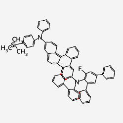 C[Si](C)(C)c1ccc(N(c2ccccc2)c2ccc3c(ccc4c5ccc(N(c6ccccc6-c6ccccc6)c6c(F)cc(-c7ccccc7)cc6-c6ccccc6)cc5c5ccccc5c34)c2)cc1